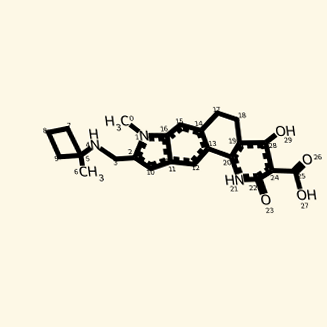 Cn1c(CNC2(C)CCC2)cc2cc3c(cc21)CCc1c-3[nH]c(=O)c(C(=O)O)c1O